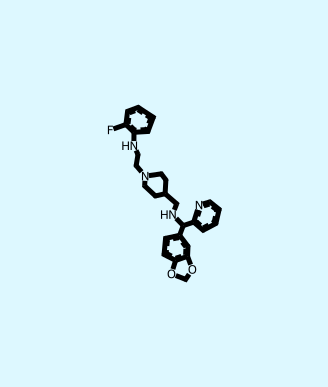 Fc1ccccc1NCCN1CCC(CNC(c2ccc3c(c2)OCO3)c2ccccn2)CC1